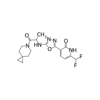 CC(Nc1nnc(-c2ccc(C(F)F)[nH]c2=O)o1)C(=O)N1CCC2(CC1)CC2